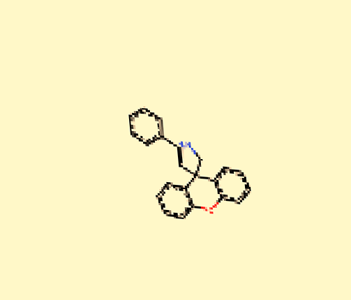 NCC1(C=Cc2ccccc2)c2ccccc2Oc2ccccc21